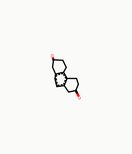 O=C1CCc2c(ccc3c2CCC(=O)C3)C1